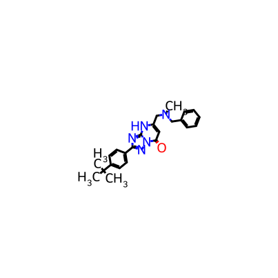 CN(Cc1ccccc1)Cc1cc(=O)n2nc(-c3ccc(C(C)(C)C)cc3)nc2[nH]1